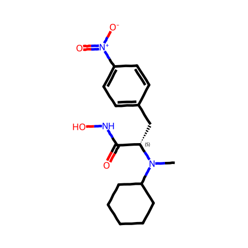 CN(C1CCCCC1)[C@@H](Cc1ccc([N+](=O)[O-])cc1)C(=O)NO